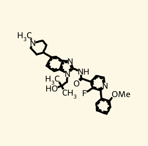 COc1ccccc1-c1nccc(C(=O)Nc2nc3cc(C4CCN(C)CC4)ccc3n2CC(C)(C)O)c1F